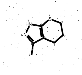 Cc1n[nH]c2c1CCCS2